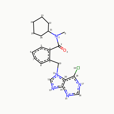 CN(C(=O)c1ccccc1Cn1cnc2ncnc(Cl)c21)C1CCCCC1